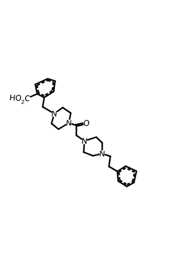 O=C(O)c1ccccc1CN1CCN(C(=O)CN2CCN(CCc3ccccc3)CC2)CC1